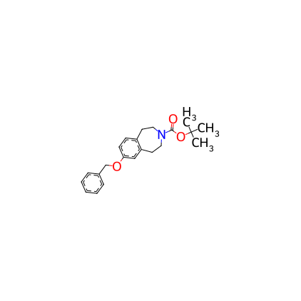 CC(C)(C)OC(=O)N1CCc2ccc(OCc3ccccc3)cc2CC1